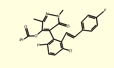 Cc1nn(C)c(=O)c(-c2c(F)ccc(Cl)c2/C=C/c2ccc(F)cc2)c1OC(=O)C(C)C